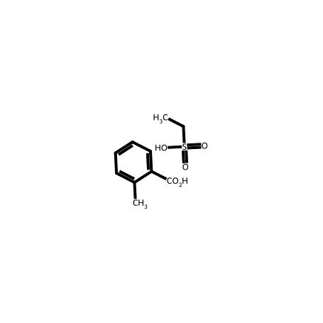 CCS(=O)(=O)O.Cc1ccccc1C(=O)O